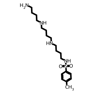 Cc1ccc(S(=O)(=O)NCCCCNCCCCNCCCCN)cc1